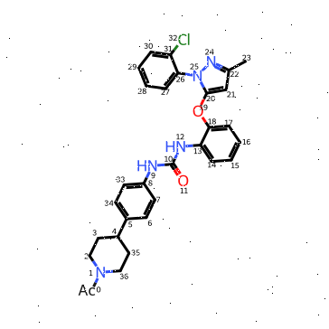 CC(=O)N1CCC(c2ccc(NC(=O)Nc3ccccc3Oc3cc(C)nn3-c3ccccc3Cl)cc2)CC1